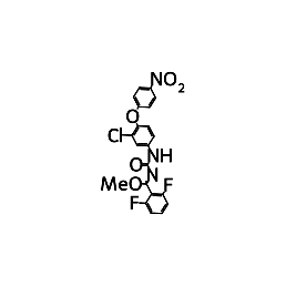 COC(=NC(=O)Nc1ccc(Oc2ccc([N+](=O)[O-])cc2)c(Cl)c1)c1c(F)cccc1F